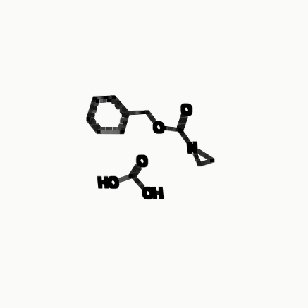 O=C(O)O.O=C(OCc1ccccc1)N1CC1